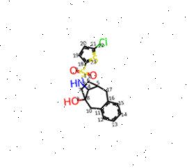 O=S(=O)(NC1C2CCC1(O)Cc1ccccc1C2)c1ccc(Cl)s1